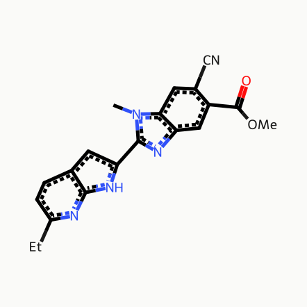 CCc1ccc2cc(-c3nc4cc(C(=O)OC)c(C#N)cc4n3C)[nH]c2n1